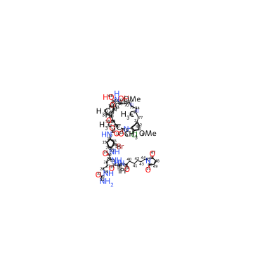 COc1cc2cc(c1Cl)N(C)C(=O)C[C@H](OC(=O)Nc1ccc(NC(=O)[C@H](CCCNC(N)=O)NC(=O)[C@@H](NC(=O)CCCCCN3C(=O)C=CC3=O)C(C)C)c(Br)c1)[C@]1(C)O[C@H]1[C@H](C)[C@@H]1C[C@@](O)(NC(O)O1)[C@H](OC)/C=C/C=C(\C)C2